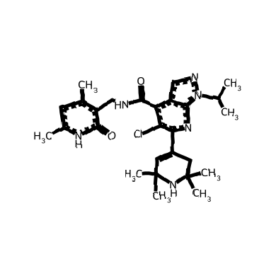 Cc1cc(C)c(CNC(=O)c2c(Cl)c(C3=CC(C)(C)NC(C)(C)C3)nc3c2cnn3C(C)C)c(=O)[nH]1